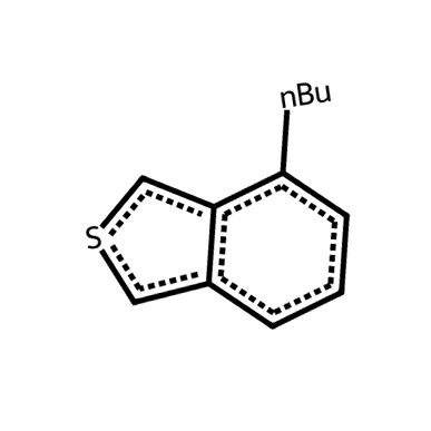 CCCCc1cccc2cscc12